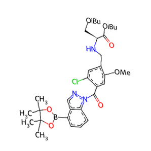 COc1cc(C(=O)n2ncc3c(B4OC(C)(C)C(C)(C)O4)cccc32)c(Cl)cc1CN[C@@H](COCC(C)C)C(=O)OCC(C)C